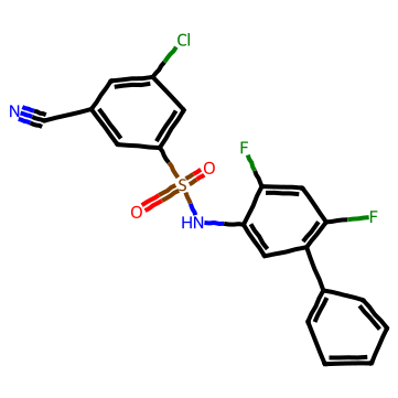 N#Cc1cc(Cl)cc(S(=O)(=O)Nc2cc(-c3ccccc3)c(F)cc2F)c1